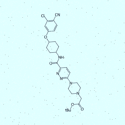 CC(C)(C)OC(=O)CN1CCN(c2ccc(C(=O)NC3CCC(Oc4ccc(C#N)c(Cl)c4)CC3)nn2)CC1